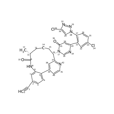 C#Cc1ccc2c(c1)NC(=O)[C@H](C)CCC[C@H](n1cnc(-c3cc(Cl)ccc3-n3cc(Cl)nn3)cc1=O)c1cc-2ccn1